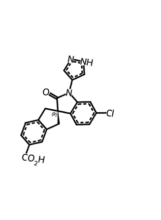 O=C(O)c1ccc2c(c1)C[C@@]1(C2)C(=O)N(c2cn[nH]c2)c2cc(Cl)ccc21